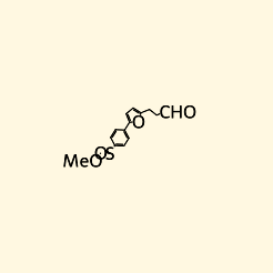 COOSc1ccc(-c2ccc(CCC=O)o2)cc1